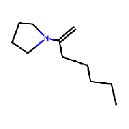 C=C(CCCCC)N1CCCC1